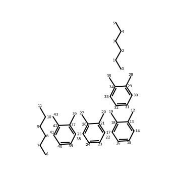 CCCCCC.CCCCCC.Cc1ccccc1C.Cc1ccccc1C.Cc1ccccc1C.Cc1ccccc1C